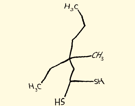 CCCC(C)(CC)C(S)S